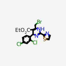 CCOC(=O)C1=C(CBr)NC(c2nccs2)=NC1c1ccc(Cl)cc1Cl